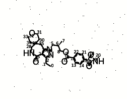 CCc1nn(C[C@@H](C)COC(=O)c2ccc(S(=O)(=O)NC)cc2)c2c1C(=O)NCC1(CCOCC1)C2